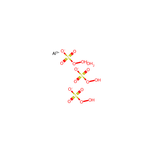 O.O=S(=O)([O-])OO.O=S(=O)([O-])OO.O=S(=O)([O-])OO.[Al+3]